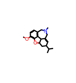 COc1ccc2c3c1OC1CC(C(C)C)C=C(CN(C)C2)C31